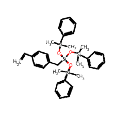 C=Cc1ccc(C[Si](O[Si](C)(C)c2ccccc2)(O[Si](C)(C)c2ccccc2)O[Si](C)(C)c2ccccc2)cc1